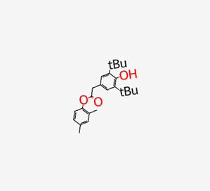 Cc1ccc(OC(=O)Cc2cc(C(C)(C)C)c(O)c(C(C)(C)C)c2)c(C)c1